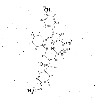 CCc1ccc(S(=O)(=O)N2CC(=O)N(c3cc(-c4ccc(C)cc4)sc3C(=O)O)C(C3CCCCC3)C2)cn1